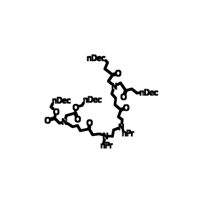 CCCCCCCCCCCCC(=O)CN(CCCC(=O)CCN(CCC)CCN(CCC)CCC(=O)CCCN(CC(=O)OCCCCCCCCCCC)CC(=O)OCCCCCCCCCCC)CC(=O)CCCCCCCCCCCC